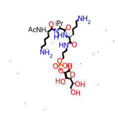 CC(=O)N[C@@H](CCCCN)C(=O)N[C@H](C(=O)N[C@@H](CCCCN)C(=O)NCCCOP(=O)(O)OC1=C(O)C([C@@H](O)CO)OC1=O)C(C)C